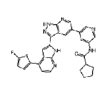 O=C(Nc1cncc(-c2cnc3[nH]nc(-c4cc5c(-c6ccc(F)s6)ccnc5[nH]4)c3c2)c1)C1CCCC1